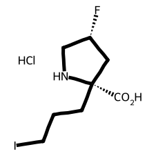 Cl.O=C(O)[C@@]1(CCCI)C[C@@H](F)CN1